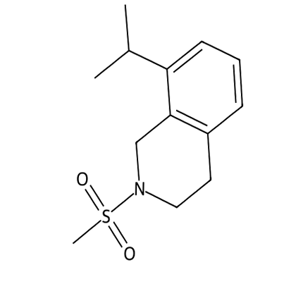 CC(C)c1cccc2c1CN(S(C)(=O)=O)CC2